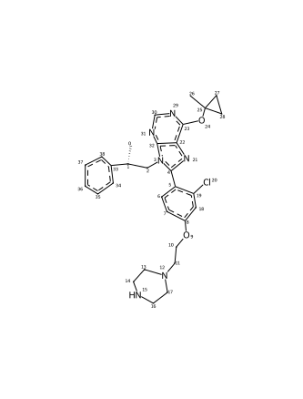 C[C@H](Cn1c(-c2ccc(OCCN3CCNCC3)cc2Cl)nc2c(OC3(C)CC3)ncnc21)c1ccccc1